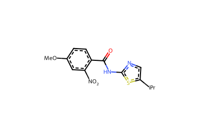 COc1ccc(C(=O)Nc2ncc(C(C)C)s2)c([N+](=O)[O-])c1